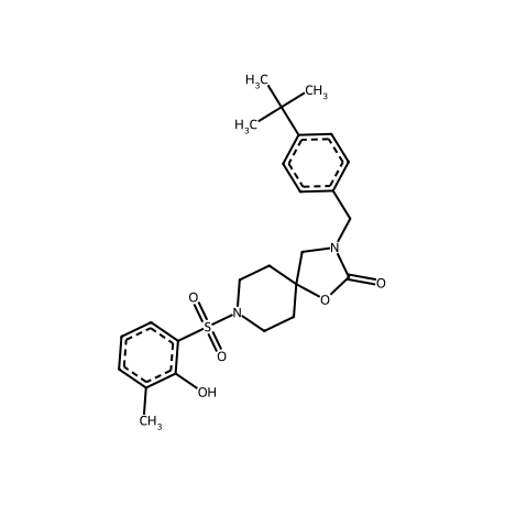 Cc1cccc(S(=O)(=O)N2CCC3(CC2)CN(Cc2ccc(C(C)(C)C)cc2)C(=O)O3)c1O